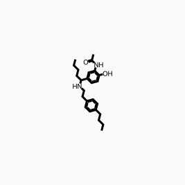 CCCCc1ccc(CCNC(CCCC)c2ccc(O)c(NC(C)=O)c2)cc1